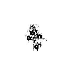 Cn1nc(NS(C)(=O)=O)c2c(Cl)ccc(-n3c([C@H](Cc4cc(F)cc(F)c4)NC(=O)Cn4nc(C(F)F)c5c4C(F)(F)[C@@H]4C[C@H]54)nc4nc(C(F)(F)F)ccc4c3=O)c21